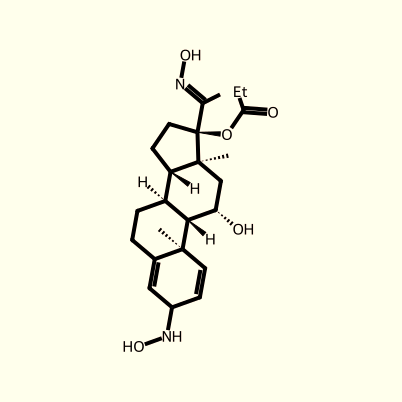 CCC(=O)O[C@]1(/C(C)=N/O)CC[C@H]2[C@@H]3CCC4=CC(NO)C=C[C@]4(C)[C@H]3[C@@H](O)C[C@@]21C